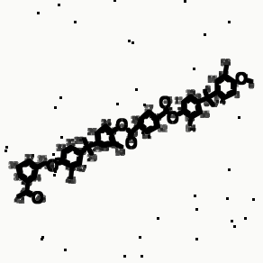 COc1ccc(C(C)(C)c2ccc(OC(=O)c3ccc(C(=O)Oc4ccc(C(C)(C)c5ccc(OCc6cccc(C(C)=O)c6)c(C)c5)cc4C)cc3)c(C)c2)cc1C